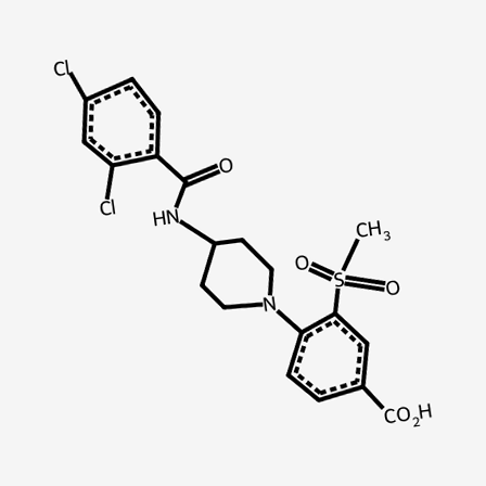 CS(=O)(=O)c1cc(C(=O)O)ccc1N1CCC(NC(=O)c2ccc(Cl)cc2Cl)CC1